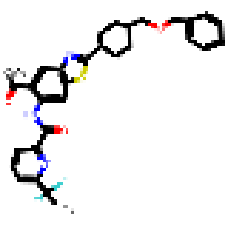 COC(=O)c1cc2nc(C3CCC(COCc4ccccc4)CC3)sc2cc1NC(=O)c1cccc(C(C)(F)F)n1